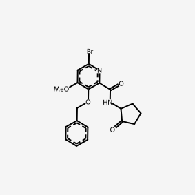 COc1cc(Br)nc(C(=O)NC2CCCC2=O)c1OCc1ccccc1